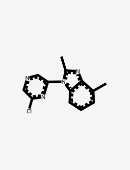 Cc1cccc2c1nc(C)n2-c1cncc(Cl)n1